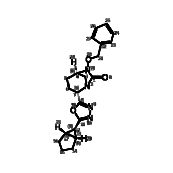 O=C1N2C[C@@H](CC[C@H]2c2nnc([C@H]3[C@@H]4CCC[C@@H]43)o2)N1OCc1ccccc1